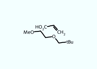 C=CC(=O)O.COCCOCC(C)(C)C